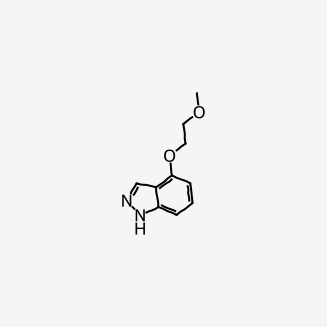 COCCOc1cccc2[nH]ncc12